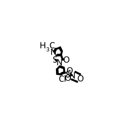 Cc1ccc2c(=O)n(-c3ccc(Cl)c(S(=O)(=O)N4CCOCC4)c3)sc2n1